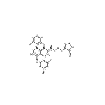 Cc1cc(F)ccc1-c1nc(NCCCN2CCCC2=O)nc2c1C(=O)NCN2c1c(C)cccc1C